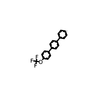 FC(F)(F)Oc1ccc(-c2ccc(-c3cc[c]cc3)cc2)cc1